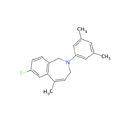 CC1=CCN(c2cc(C)cc(C)c2)Cc2ccc(F)cc21